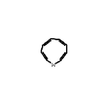 c1cccc[se]ccc1